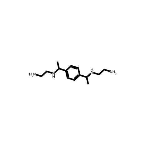 CC(NCCN)c1ccc(C(C)NCCN)cc1